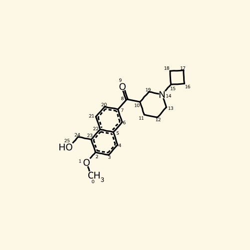 COc1ccc2cc(C(=O)C3CCCN(C4CCC4)C3)ccc2c1CO